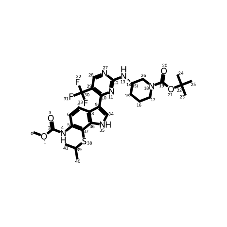 COC(=O)Nc1ccc2c(-c3nc(N[C@H]4CCCN(C(=O)OC(C)(C)C)C4)ncc3C(F)(F)F)c[nH]c2c1SC(C)C